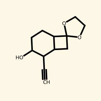 C#CC1C(O)CCC2C1CC21OCCO1